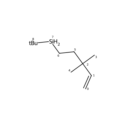 C=CC(C)(C)CC[SiH2]C(C)(C)C